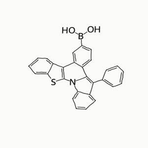 OB(O)c1ccc2c(c1)c1c3ccccc3sc1n1c3ccccc3c(-c3ccccc3)c21